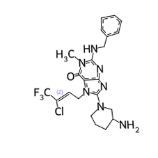 Cn1c(NCc2ccccc2)nc2nc(N3CCCC(N)C3)n(C/C=C(\Cl)C(F)(F)F)c2c1=O